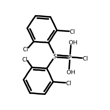 OP(O)(Cl)=S(c1c(Cl)cccc1Cl)c1c(Cl)cccc1Cl